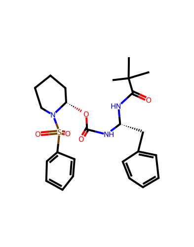 CC(C)(C)C(=O)N[C@H](Cc1ccccc1)NC(=O)O[C@H]1CCCCN1S(=O)(=O)c1ccccc1